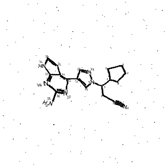 N#CCC(C1CCCC1)n1cc(-c2nc(N)nc3[nH]ccc23)cn1